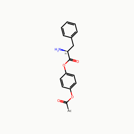 CC(=O)C(=O)Oc1ccc(OC(=O)[C@@H](N)Cc2ccccc2)cc1